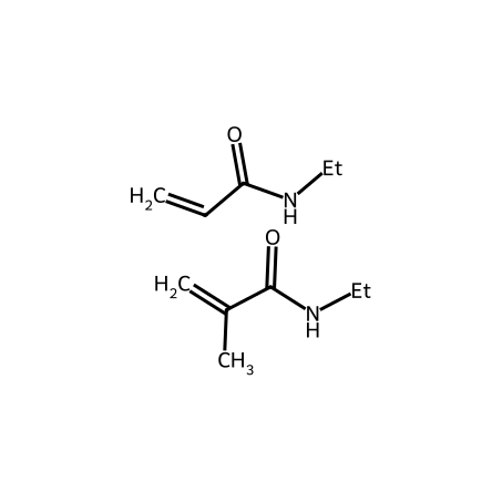 C=C(C)C(=O)NCC.C=CC(=O)NCC